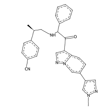 C[C@@H](CNC(C(=O)c1cnn2cc(-c3cnn(C)c3)ccc12)c1ccccc1)c1ccc(C#N)cc1